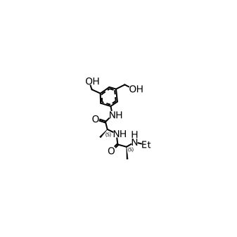 CCN[C@@H](C)C(=O)N[C@@H](C)C(=O)Nc1cc(CO)cc(CO)c1